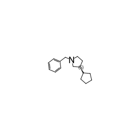 c1ccc(CN2CC[C@@H](C3CCCC3)C2)cc1